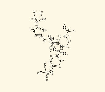 CC(=O)N1CCN(S(=O)(=O)c2ccc(OC(F)(F)F)cc2)[C@@H](C(=O)NCc2csc(-c3cccs3)n2)C1